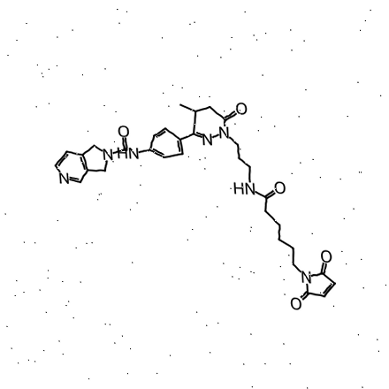 CC1CC(=O)N(CCCNC(=O)CCCCCN2C(=O)C=CC2=O)N=C1c1ccc(NC(=O)N2Cc3ccncc3C2)cc1